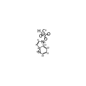 CS(=O)(=O)On1ccc2ncccc21